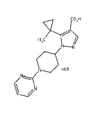 CC1(c2c(C(=O)O)cnn2C2CCN(c3ncccn3)CC2)CC1.Cl